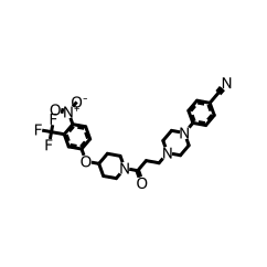 N#Cc1ccc(N2CCN(CCC(=O)N3CCC(Oc4ccc([N+](=O)[O-])c(C(F)(F)F)c4)CC3)CC2)cc1